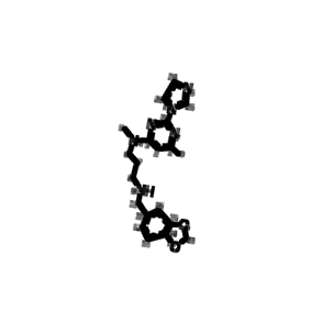 Cc1cc(N(C)CCCNCc2ccc3c(c2)OCO3)nc(-n2ccnc2)n1